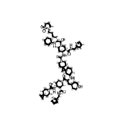 O=C(NCc1cccs1)[C@H]1CN(C(=O)C(CC2CCNCC2)NC2CCCC3(C2)CC32CCN(C(=O)N[C@@H]3CCN(C(=O)[C@@H](CCCCN4CCCS4(=O)=O)NC4CCCCC4)C[C@@H]3C(=O)NCc3cccs3)CC2)CC[C@H]1NC(=O)N1CCC2(CC1)CC2